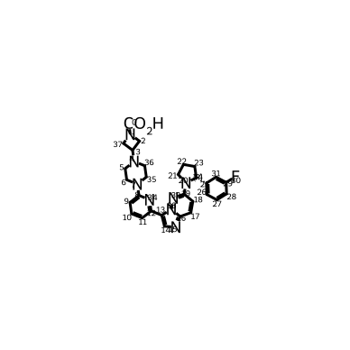 O=C(O)N1CC(N2CCN(c3cccc(-c4cnc5ccc(N6CCC[C@@H]6c6cccc(F)c6)nn45)n3)CC2)C1